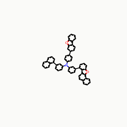 c1cc(-c2cccc3ccccc23)cc(N(c2ccc(-c3ccc4c(c3)oc3ccccc34)cc2)c2cccc(-c3cccc4oc5c6ccccc6ccc5c34)c2)c1